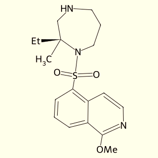 CC[C@@]1(C)CNCCCN1S(=O)(=O)c1cccc2c(OC)nccc12